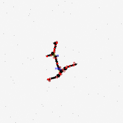 C=CC(=O)OCCCCCCOc1ccc(C(=O)Oc2ccc(OC(=O)c3ccc(OCCCCCCOC(=O)C=C)cc3)c3sc(NC(=O)CCCCCCCCCOC(=O)/C(C#N)=C4\Sc5c(OCCCCC)ccc(OCCCCCCOCC6(CC)COC6)c5S4)nc23)cc1